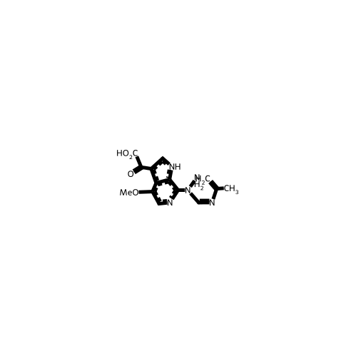 C=C(C)/N=C\N(N)c1ncc(OC)c2c(C(=O)C(=O)O)c[nH]c12